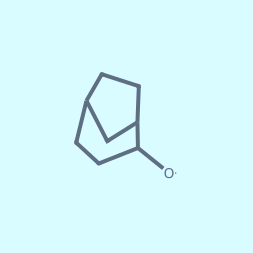 [O]C1CCC2CCC1C2